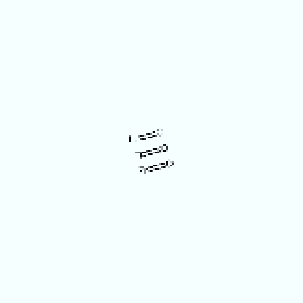 [O]=[La].[O]=[Ti].[O]=[Zr]